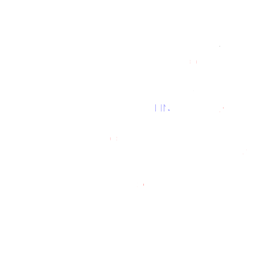 CC(C)(C)OC(=O)NC(CCO)C(=O)OC(c1ccccc1)c1ccccc1